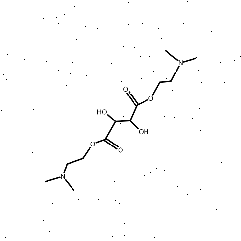 CN(C)CCOC(=O)C(O)C(O)C(=O)OCCN(C)C